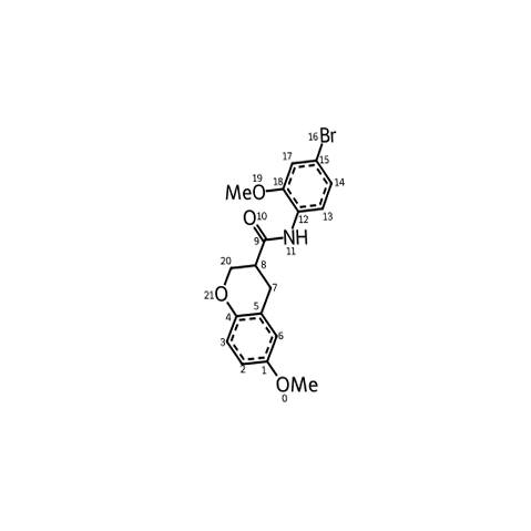 COc1ccc2c(c1)CC(C(=O)Nc1ccc(Br)cc1OC)CO2